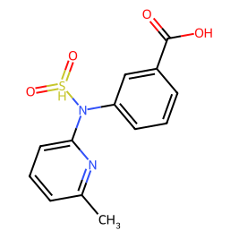 Cc1cccc(N(c2cccc(C(=O)O)c2)[SH](=O)=O)n1